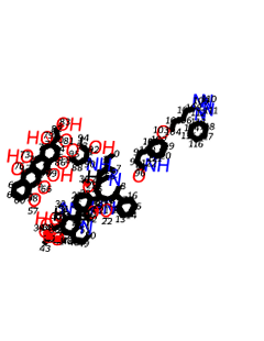 CCC1=C[C@@H]2C[N@](C1)Cc1c([nH]c3ccccc13)[C@@](C(=O)OC)(c1cc3c(cc1OC)N(C)[C@H]1[C@@](O)(C(=O)OC)[C@H](OC(C)=O)[C@]4(CC)C=CCN5CC[C@]31[C@@H]54)C2.COc1cccc2c1C(=O)c1c(O)c3c(c(O)c1C2=O)C[C@@](O)(C(=O)CO)C[C@@H]3O[C@H]1C[C@H](N)[C@@H](O)[C@H](C)O1.O=C1CCc2cc(OCCCCc3nnnn3C3CCCCC3)ccc2N1